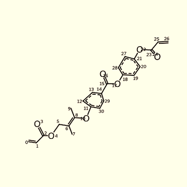 C=CC(=O)OC/C(C)=C(\C)Oc1ccc(C(=O)Oc2ccc(OC(=O)C=C)cc2)cc1